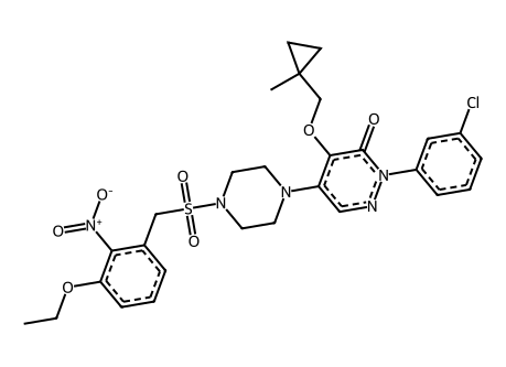 CCOc1cccc(CS(=O)(=O)N2CCN(c3cnn(-c4cccc(Cl)c4)c(=O)c3OCC3(C)CC3)CC2)c1[N+](=O)[O-]